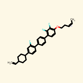 C=CC1CCC(c2ccc(-c3ccc(-c4ccc(OCC/C=C\C)c(F)c4F)cc3)c(F)c2)CC1